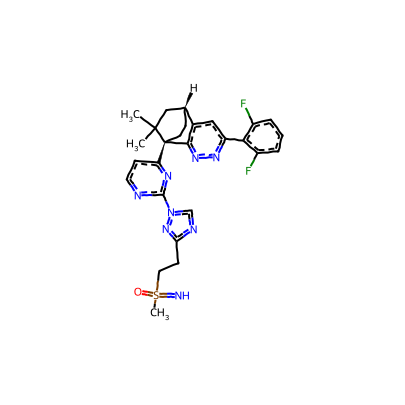 CC1(C)C[C@H]2CC[C@]1(c1ccnc(-n3cnc(CCS(C)(=N)=O)n3)n1)c1nnc(-c3c(F)cccc3F)cc12